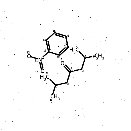 CC(C)CC(=O)CC(C)C.O=[N+]([O-])c1ccccc1